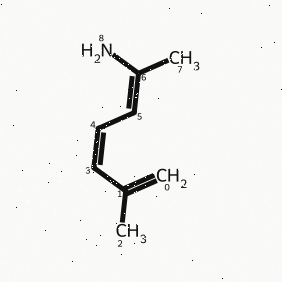 C=C(C)/C=C\C=C(\C)N